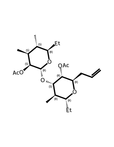 C=CC[C@H]1O[C@H](CC)[C@@H](C)[C@H](O[C@H]2O[C@H](CC)[C@@H](C)[C@H](C)[C@@H]2OC(C)=O)[C@@H]1OC(C)=O